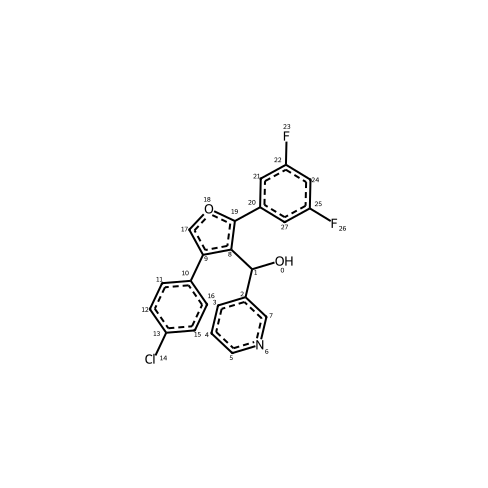 OC(c1cccnc1)c1c(-c2ccc(Cl)cc2)coc1-c1cc(F)cc(F)c1